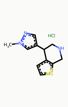 Cl.Cn1cc(C2CNCc3sccc32)cn1